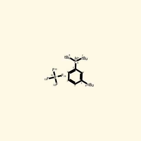 CCCCc1cccc([PH+](C(C)(C)C)C(C)(C)C)c1.F[B-](F)(F)F